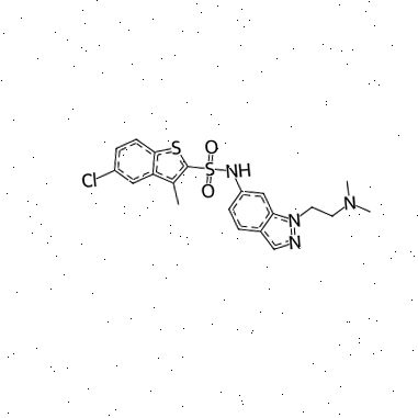 Cc1c(S(=O)(=O)Nc2ccc3cnn(CCN(C)C)c3c2)sc2ccc(Cl)cc12